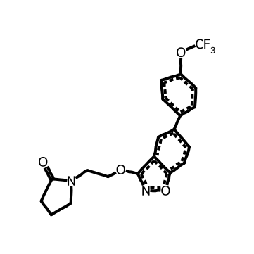 O=C1CCCN1CCOc1noc2ccc(-c3ccc(OC(F)(F)F)cc3)cc12